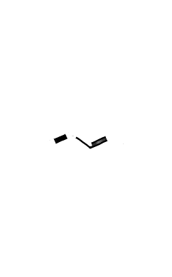 C=C[Si]=O